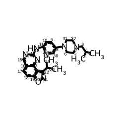 CC(C)CN1CCN(c2ccc(Nc3ncc4ccc5onc(C(C)C)c5c4n3)nc2)CC1